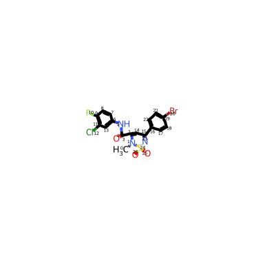 CN1C(C(=O)Nc2ccc(F)c(Cl)c2)=CC(c2ccc(Br)cc2)=NS1(=O)=O